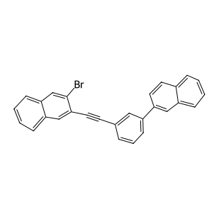 Brc1cc2ccccc2cc1C#Cc1cccc(-c2ccc3ccccc3c2)c1